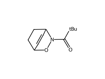 CC(C)(C)C(=O)N1OC2C=CC1CC2